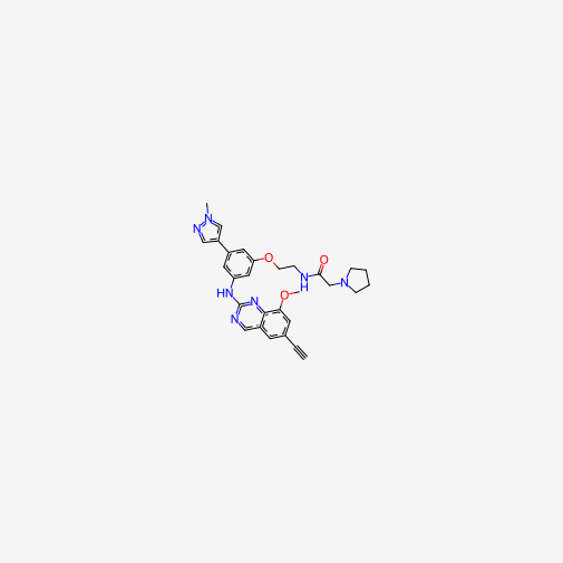 C#Cc1cc(OC)c2nc(Nc3cc(OCCNC(=O)CN4CCCC4)cc(-c4cnn(C)c4)c3)ncc2c1